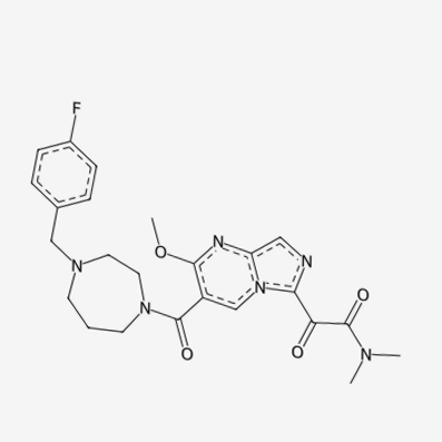 COc1nc2cnc(C(=O)C(=O)N(C)C)n2cc1C(=O)N1CCCN(Cc2ccc(F)cc2)CC1